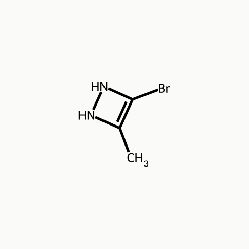 Cc1[nH][nH]c1Br